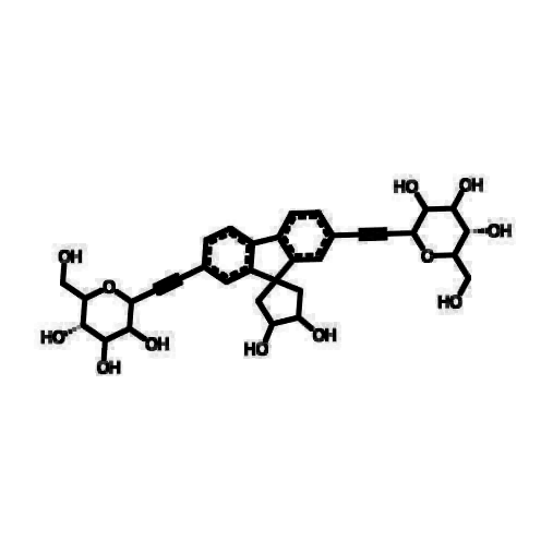 OCC1OC(C#Cc2ccc3c(c2)C2(CC(O)C(O)C2)c2cc(C#CC4OC(CO)[C@@H](O)C(O)C4O)ccc2-3)C(O)C(O)[C@@H]1O